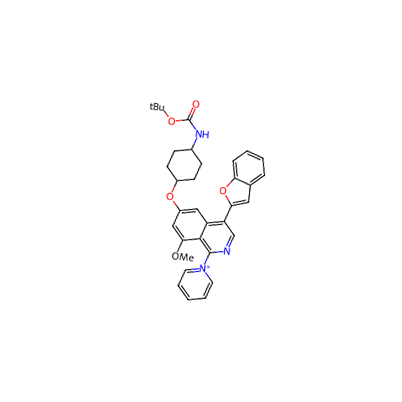 COc1cc(OC2CCC(NC(=O)OC(C)(C)C)CC2)cc2c(-c3cc4ccccc4o3)cnc(-[n+]3ccccc3)c12